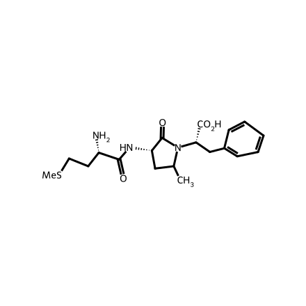 CSCC[C@H](N)C(=O)N[C@H]1CC(C)N([C@@H](Cc2ccccc2)C(=O)O)C1=O